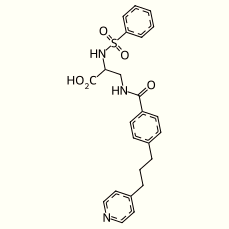 O=C(NCC(NS(=O)(=O)c1ccccc1)C(=O)O)c1ccc(CCCc2ccncc2)cc1